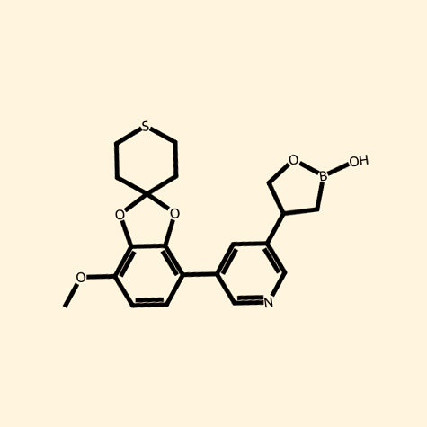 COc1ccc(-c2cncc(C3COB(O)C3)c2)c2c1OC1(CCSCC1)O2